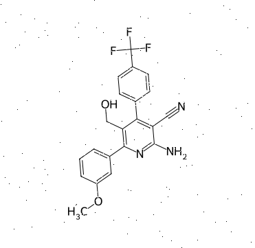 COc1cccc(-c2nc(N)c(C#N)c(-c3ccc(C(F)(F)F)cc3)c2CO)c1